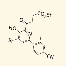 CCOC(=O)CCC(=O)c1nc(-c2ccc(C#N)cc2C)cc(Br)c1O